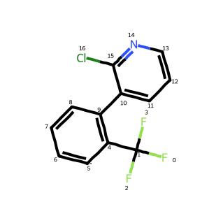 FC(F)(F)c1[c]cccc1-c1cccnc1Cl